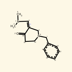 CN(C)/C=C1/CN(Cc2ccccc2)CCC1=O